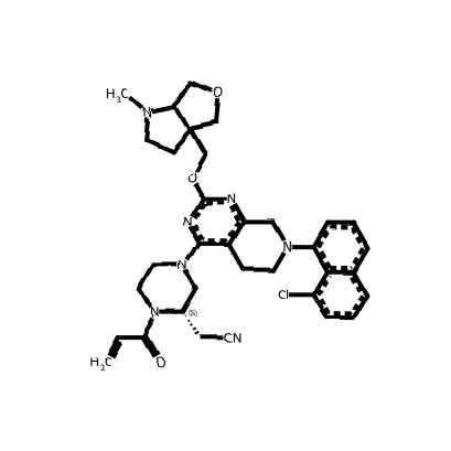 C=CC(=O)N1CCN(c2nc(OCC34CCN(C)C3COC4)nc3c2CCN(c2cccc4cccc(Cl)c24)C3)C[C@@H]1CC#N